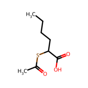 CCCCC(SC(C)=O)C(=O)O